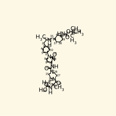 CC(Cc1ccc(-n2ccc(NC(=O)N3CCN(C(=O)C(C)(C)NC(=O)O)CC3)nc2=O)cc1)NC[C@H]1CCC[C@H](NC(=O)OC(C)(C)C)C1